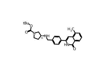 Cc1cccc2c(=O)[nH]c(-c3ccc(CN[C@H]4CCN(C(=O)OC(C)(C)C)C4)cc3)cc12